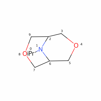 CC(C)N1C2COCC1COC2